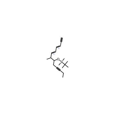 C#C/C=C/C=C/C(C)C(CC#CCC)O[Si](C)(C)C(C)(C)C